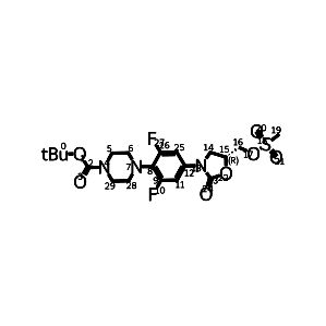 CC(C)(C)OC(=O)N1CCN(c2c(F)cc(N3C[C@H](COS(C)(=O)=O)OC3=O)cc2F)CC1